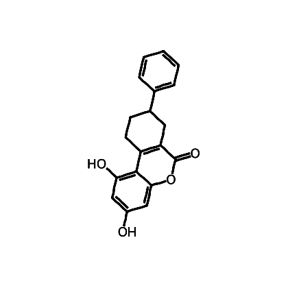 O=c1oc2cc(O)cc(O)c2c2c1CC(c1ccccc1)CC2